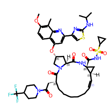 COc1ccc2c(O[C@@H]3C[C@H]4C(=O)N[C@]5(C(=O)NS(=O)(=O)C6CC6)C[C@H]5/C=C\CCCCC[C@H](CC(=O)N5CCC(C(F)(F)F)CC5)C(=O)N4C3)cc(-c3csc(NC(C)C)n3)nc2c1C